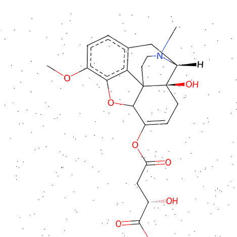 COc1ccc2c3c1OC1C(OC(=O)C[C@H](O)C(=O)O)=CC[C@@]4(O)[C@@H](C2)N(C)CCC314